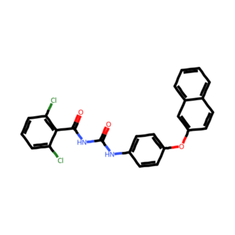 O=C(NC(=O)c1c(Cl)cccc1Cl)Nc1ccc(Oc2ccc3ccccc3c2)cc1